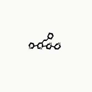 C(=C\c1cc(-c2cccnc2)cnc1-c1ccc(-c2cccnc2)nc1)/c1ccccc1